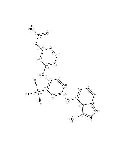 Cc1ncc2cccc(Oc3ccc(Oc4cccc(CC(=O)O)c4)c(C(F)(F)F)c3)n12